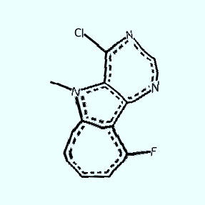 Cn1c2cccc(F)c2c2ncnc(Cl)c21